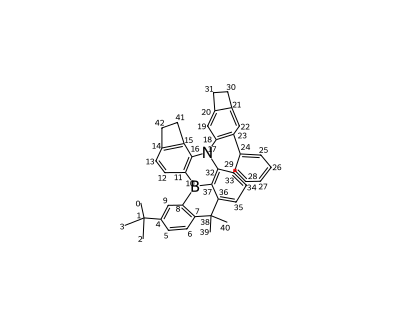 CC(C)(C)c1ccc2c(c1)B1c3ccc4c(c3N(c3cc5c(cc3-c3ccccc3)CC5)c3cccc(c31)C2(C)C)CC4